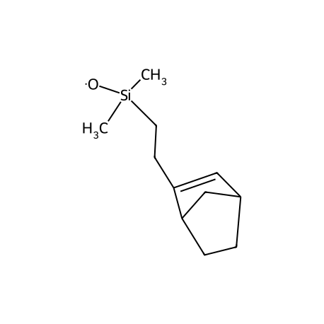 C[Si](C)([O])CCC1=CC2CCC1C2